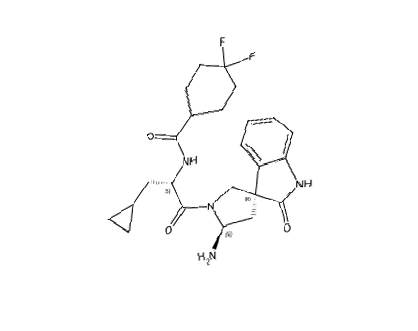 N[C@@H]1C[C@@]2(CN1C(=O)[C@H](CC1CC1)NC(=O)C1CCC(F)(F)CC1)C(=O)Nc1ccccc12